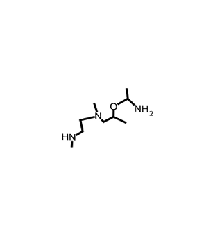 CNCCN(C)CC(C)OC(C)N